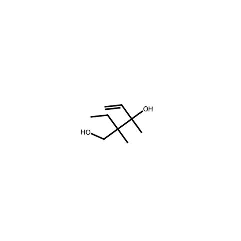 C=CC(C)(O)C(C)(CC)CO